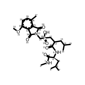 CNC(=O)[C@H](CC(C)C)NC(=O)C(CC(C)C)CP(=O)(O)CN1C(=O)c2c(C)ccc(OC)c2C1=O